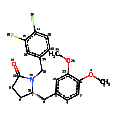 COc1ccc(C[C@@H]2CCC(=O)N2Cc2ccc(F)c(F)c2)cc1OC